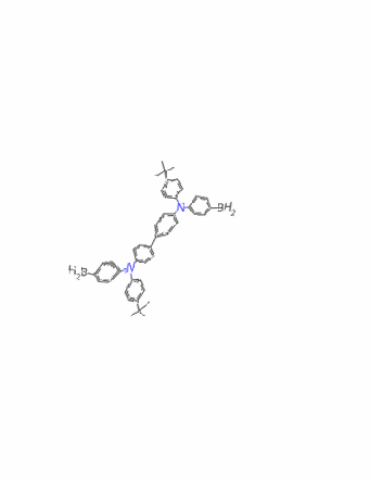 Bc1ccc(N(c2ccc(-c3ccc(N(c4ccc(B)cc4)c4ccc(C(C)(C)C)cc4)cc3)cc2)c2ccc(C(C)(C)C)cc2)cc1